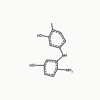 Cc1ccc(Nc2cc(O)ccc2N)cc1O